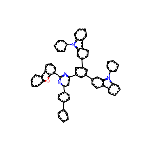 c1ccc(-c2ccc(-c3cc(-c4cc(-c5ccc6c7ccccc7n(-c7ccccc7)c6c5)cc(-c5ccc6c7ccccc7n(-c7ccccc7)c6c5)c4)nc(-c4cccc5c4oc4ccccc45)n3)cc2)cc1